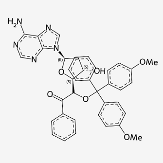 COc1ccc(C(OC(C(=O)c2ccccc2)[C@H]2O[C@@H](n3cnc4c(N)ncnc43)C[C@@H]2O)(c2ccccc2)c2ccc(OC)cc2)cc1